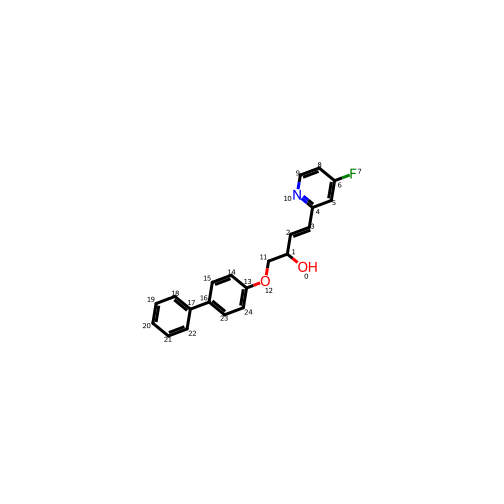 OC(C=Cc1cc(F)ccn1)COc1ccc(-c2ccccc2)cc1